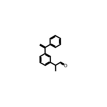 C=C(c1ccccc1)c1cccc(C(C)C=O)c1